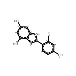 Oc1ccc(-c2nc3c(O)cc(O)cc3o2)c(Cl)c1